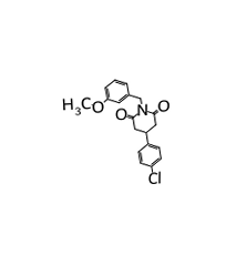 COc1cccc(CN2C(=O)CC(c3ccc(Cl)cc3)CC2=O)c1